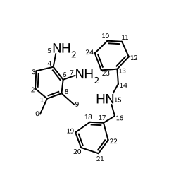 Cc1ccc(N)c(N)c1C.c1ccc(CNCc2ccccc2)cc1